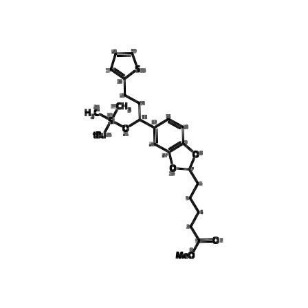 COC(=O)CCCCC1Oc2ccc(C(CCc3cccs3)O[Si](C)(C)C(C)(C)C)cc2O1